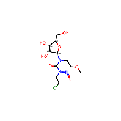 COCCN(C(=O)N(CCCl)N=O)[C@@H]1O[C@H](CO)[C@@H](O)[C@H]1O